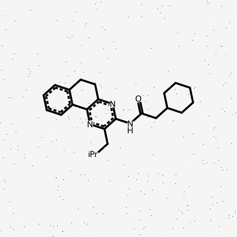 CC(C)Cc1nc2c(nc1NC(=O)CC1CCCCC1)CCc1ccccc1-2